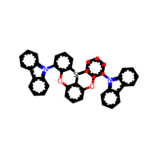 c1ccc([Si]23c4cccc(-n5c6ccccc6c6ccccc65)c4Oc4cccc(c42)Oc2c(-n4c5ccccc5c5ccccc54)cccc23)cc1